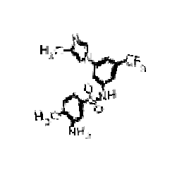 Cc1cn(-c2cc(NS(=O)(=O)c3ccc(C)c(N)c3)cc(C(F)(F)F)c2)cn1